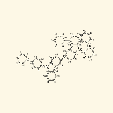 c1ccc(-c2ccc(-n3c4ccccc4c4cc(-c5ccc6c(c5)c5c(-c7ccccc7)cccc5n6-c5ccccc5-c5ccccc5)ccc43)cc2)cc1